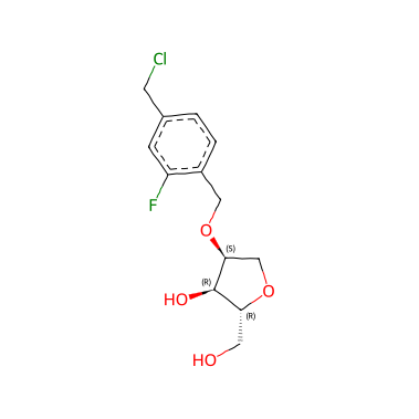 OC[C@H]1OC[C@H](OCc2ccc(CCl)cc2F)[C@@H]1O